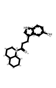 O=C(CCc1c[nH]c2ccc(O)cc12)N1CCCC2CCCCC21